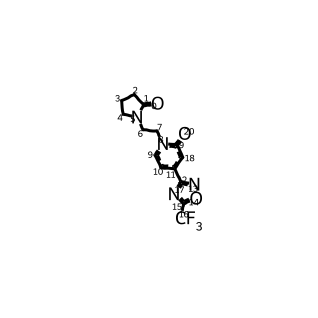 O=C1CCCN1CCn1ccc(-c2noc(C(F)(F)F)n2)cc1=O